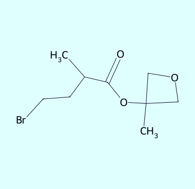 CC(CCBr)C(=O)OC1(C)COC1